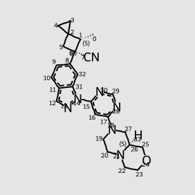 C[C@H]1C2(CC2)C[C@]1(C#N)c1ccc2cnn(-c3cc(N4CCN5CCOC[C@@H]5C4)ncn3)c2c1